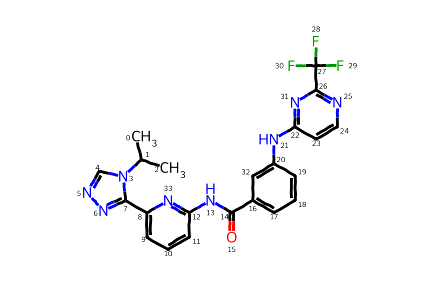 CC(C)n1cnnc1-c1cccc(NC(=O)c2cccc(Nc3ccnc(C(F)(F)F)n3)c2)n1